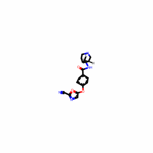 N#Cc1ncc(Oc2ccc(C(=O)N[C@H]3CN4CCC3CC4)cc2)o1